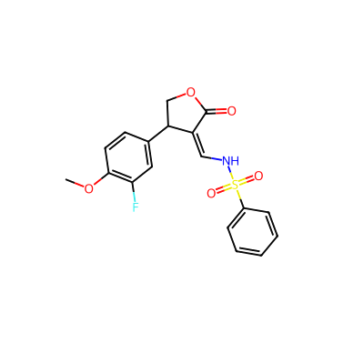 COc1ccc(C2COC(=O)/C2=C\NS(=O)(=O)c2ccccc2)cc1F